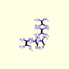 NC(N)=C(N)N.NC(N)=C(N)N.NC(N)=C(N)N.NC=C(N)N.NC=C(N)N